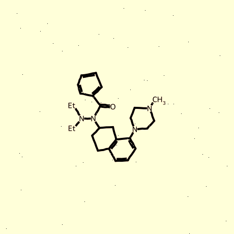 CCN(CC)N(C(=O)c1ccccc1)C1CCc2cccc(N3CCN(C)CC3)c2C1